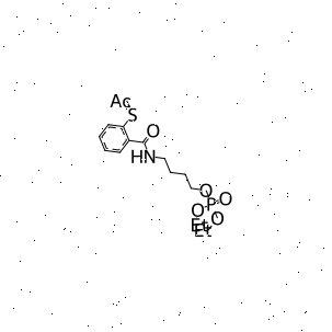 CCOP(=O)(OCC)OCCCCNC(=O)c1ccccc1SC(C)=O